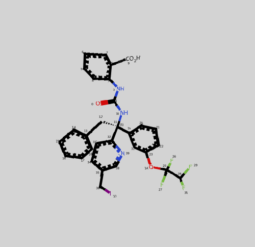 O=C(Nc1ccccc1C(=O)O)N[C@@](Cc1ccccc1)(c1cccc(OC(F)(F)C(F)F)c1)c1ccc(CI)cn1